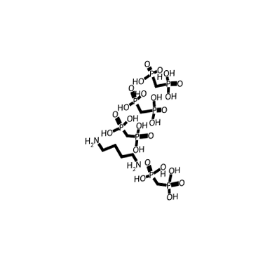 NCCCCN.O=P(O)(O)CP(=O)(O)O.O=P(O)(O)CP(=O)(O)O.O=P(O)(O)CP(=O)(O)O.O=P(O)(O)CP(=O)(O)O